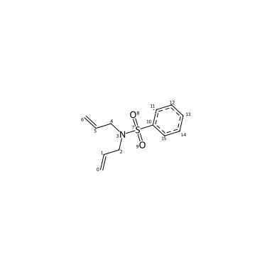 C=CCN(CC=C)S(=O)(=O)c1[c]cccc1